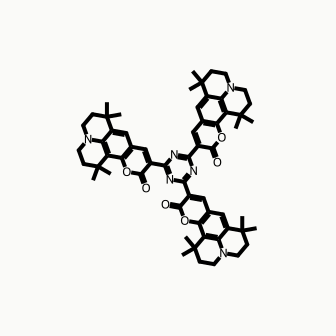 CC1(C)CCN2CCC(C)(C)c3c2c1cc1cc(-c2nc(-c4cc5cc6c7c(c5oc4=O)C(C)(C)CCN7CCC6(C)C)nc(-c4cc5cc6c7c(c5oc4=O)C(C)(C)CCN7CCC6(C)C)n2)c(=O)oc31